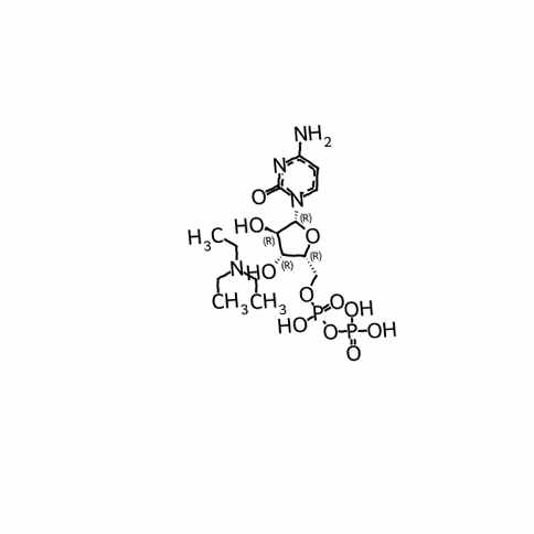 CCN(CC)CC.Nc1ccn([C@@H]2O[C@H](COP(=O)(O)OP(=O)(O)O)[C@H](O)[C@H]2O)c(=O)n1